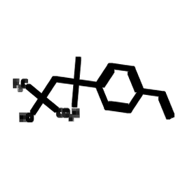 C=Cc1ccc(C(C)(C)CC(O)(C(=O)O)C(F)(F)F)cc1